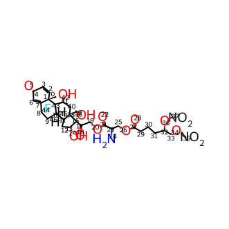 C[C@]12C=CC(=O)C=C1CC[C@H]1[C@@H]3C[C@@H](O)[C@](O)(C(=O)COC(=O)C(N)COC(=O)CCCC(CO[N+](=O)[O-])O[N+](=O)[O-])[C@@]3(C)C[C@H](O)[C@@]12F